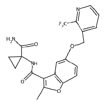 Cc1oc2ccc(OCc3cccnc3C(F)(F)F)cc2c1C(=O)NC1(C(N)=O)CC1